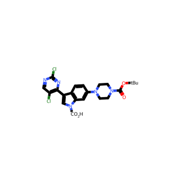 CC(C)(C)OC(=O)N1CCN(c2ccc3c(-c4nc(Cl)ncc4Cl)cn(C(=O)O)c3c2)CC1